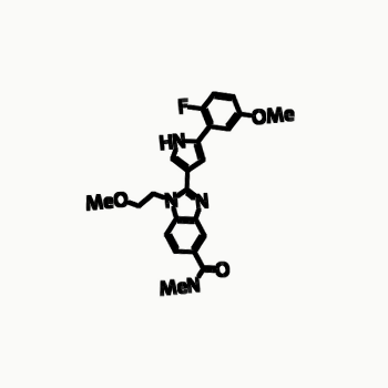 CNC(=O)c1ccc2c(c1)nc(-c1c[nH]c(-c3cc(OC)ccc3F)c1)n2CCOC